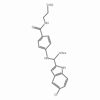 CCCCCCC(Nc1ccc(C(=O)NCCC=O)cc1)c1cc2cc(Cl)ccc2[nH]1